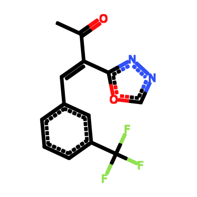 CC(=O)/C(=C/c1cccc(C(F)(F)F)c1)c1nnco1